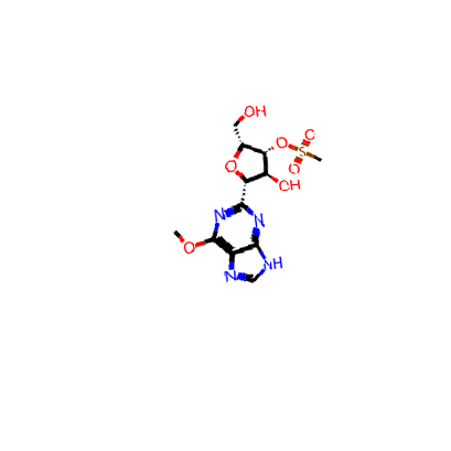 COc1nc([C@@H]2O[C@H](CO)[C@H](OS(C)(=O)=O)[C@H]2O)nc2[nH]cnc12